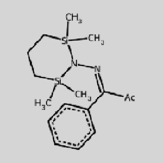 CC(=O)C(=NN1[Si](C)(C)CCC[Si]1(C)C)c1ccccc1